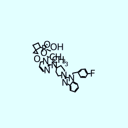 CC(OP(=O)(CO)C1CCC12CC2)n1c(N(C)C2CCN(c3nc4ccccc4n3Cc3ccc(F)cc3)CC2)nccc1=O